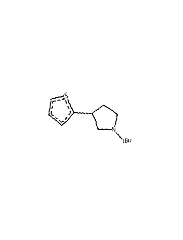 CC(C)(C)N1CCC(c2cccs2)C1